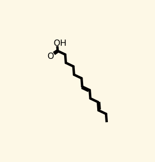 CC/C=C/C/C=C/CCCCCC(=O)O